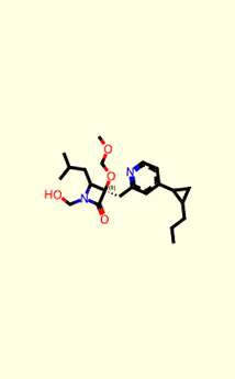 CCCC1CC1c1ccnc(C[C@]2(OCOC)C(=O)N(CO)C2CC(C)C)c1